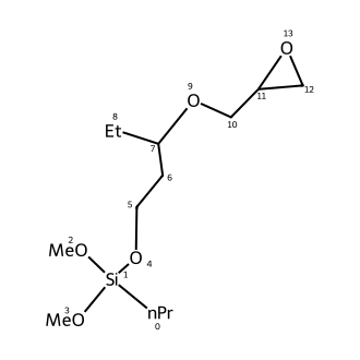 CCC[Si](OC)(OC)OCCC(CC)OCC1CO1